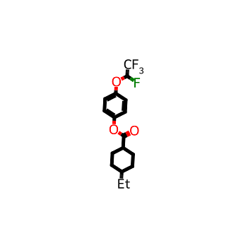 CCC1CCC(C(=O)Oc2ccc(OC(F)C(F)(F)F)cc2)CC1